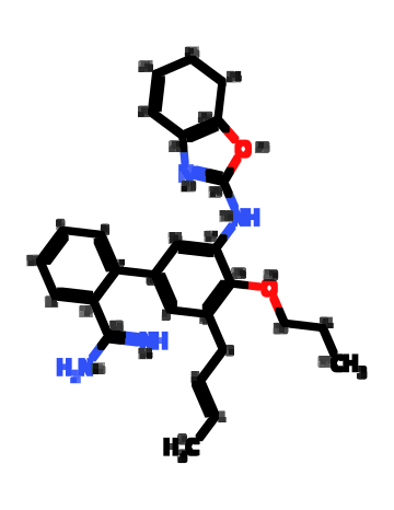 C/C=C/Cc1cc(-c2ccccc2C(=N)N)cc(Nc2nc3c(o2)CCC=C3)c1OCCC